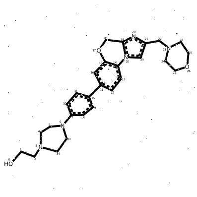 OCCN1CCN(c2ccc(-c3ccc4c(c3)OCc3nc(CN5CCOCC5)cn3-4)cc2)CC1